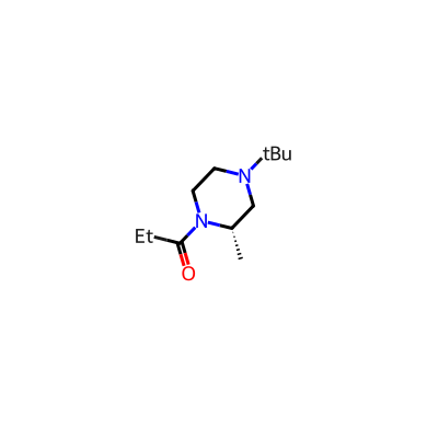 CCC(=O)N1CCN(C(C)(C)C)C[C@@H]1C